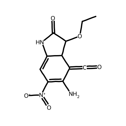 CCOC1C(=O)NC2=CC([N+](=O)[O-])=C(N)C(=C=O)C21